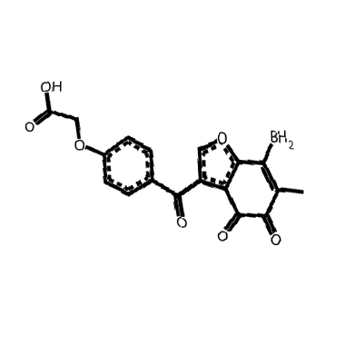 BC1=C(C)C(=O)C(=O)c2c(C(=O)c3ccc(OCC(=O)O)cc3)coc21